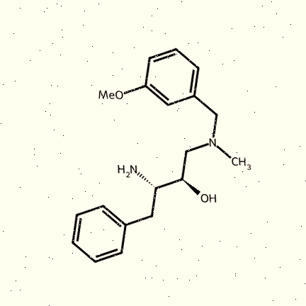 COc1cccc(CN(C)C[C@@H](O)[C@@H](N)Cc2ccccc2)c1